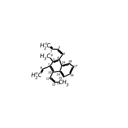 C=C/C=C\c1c(C)c(C=C)c(/C=C\C)c2ccccc12